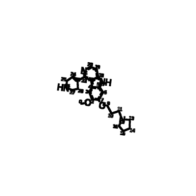 COc1cc2c(cc1OCCCN1CCCC1)[nH]c1ccnc(C3=CCNCC3)c12